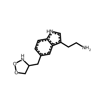 NCCc1c[nH]c2ccc(CC3COON3)cc12